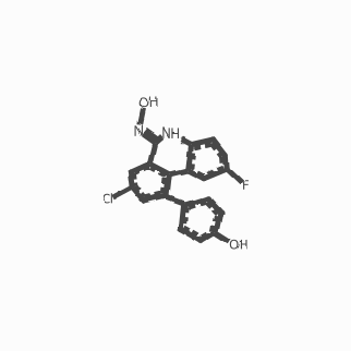 Cc1ccc(F)cc1-c1c(/C(N)=N/O)cc(Cl)cc1-c1ccc(O)cc1